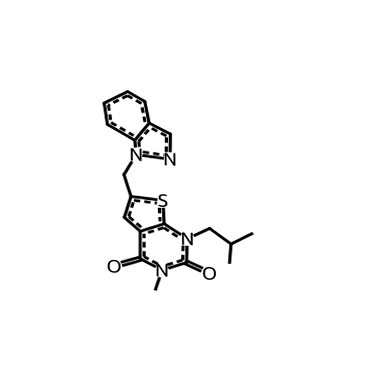 CC(C)Cn1c(=O)n(C)c(=O)c2cc(Cn3ncc4ccccc43)sc21